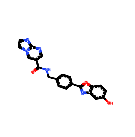 O=C(NCc1ccc(-c2nc3cc(O)ccc3o2)cc1)c1cnc2nccn2c1